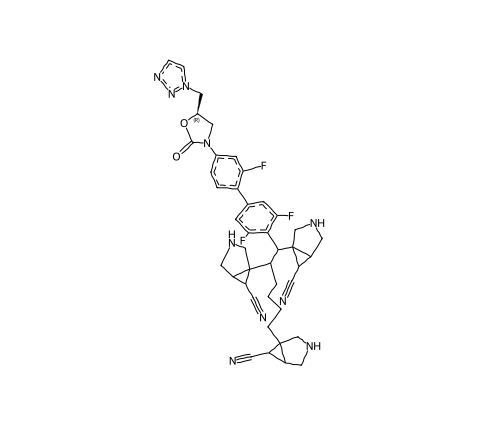 N#CC1C2CNCC12CCCCC(C(c1c(F)cc(-c2ccc(N3C[C@H](Cn4ccnn4)OC3=O)cc2F)cc1F)C12CNCC1C2C#N)C12CNCC1C2C#N